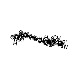 CC1(C)[C@H](Oc2ccc(C#N)c(Cl)c2)C(C)(C)[C@H]1N1Cc2cc(N3CCN(C4CN(C5CN(c6ccc7c(c6)C(=O)N(C6CCC(=O)NC6=O)C7=O)C5)C4)CC3)ccc2C1=O